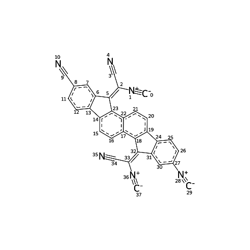 [C-]#[N+]/C(C#N)=C1/c2cc(C#N)ccc2-c2ccc3c4c(ccc3c21)-c1ccc([N+]#[C-])cc1/C4=C(/C#N)[N+]#[C-]